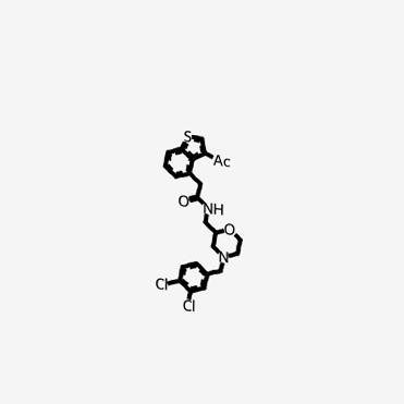 CC(=O)c1csc2cccc(CC(=O)NCC3CN(Cc4ccc(Cl)c(Cl)c4)CCO3)c12